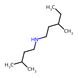 CCC(C)CCNCCC(C)C